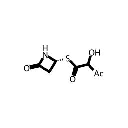 CC(=O)C(O)C(=O)S[C@@H]1CC(=O)N1